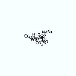 CC(C)CN(C(=O)c1cnc(C(C)(C)C)nc1NCc1ccco1)[C@H]1C[C@@H](NC(=O)OCc2ccccc2)CN(C(=O)O)C1